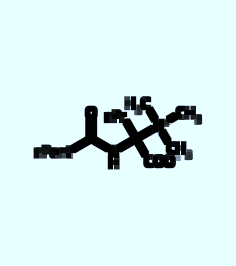 CCCCCC(=O)NC(CCC)(C(=O)[O-])[N+](C)(C)C